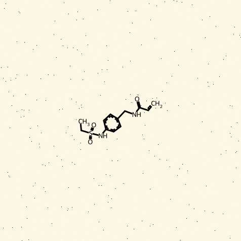 C=CC(=O)NCc1ccc(NS(=O)(=O)CC)cc1